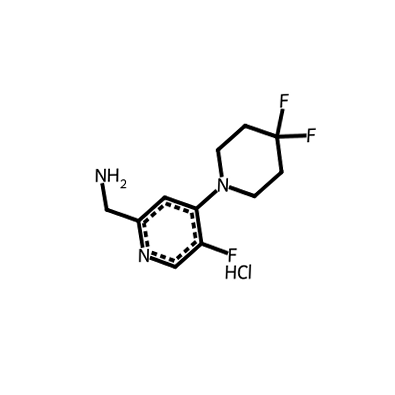 Cl.NCc1cc(N2CCC(F)(F)CC2)c(F)cn1